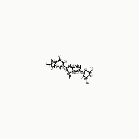 Cc1cn2nc(-c3cc(F)c4cc(N5C[C@H](C)C[C@H](C)C5)nnc4c3)cc(C)c2n1